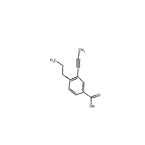 CC#Cc1cc(C(=O)O)ccc1CCC